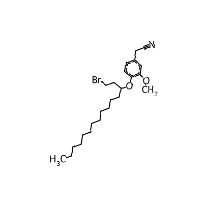 CCCCCCCCCCCCC(CCBr)Oc1ccc(CC#N)cc1OC